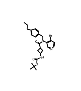 CCCc1ccc(CN(C(=O)C2CC(NC(=O)OC(C)(C)C)C2)c2cnccc2Br)cc1